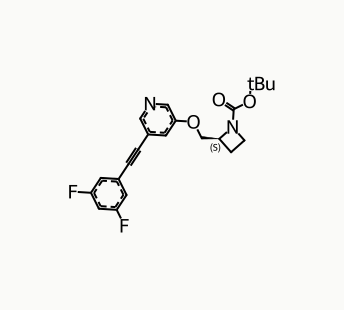 CC(C)(C)OC(=O)N1CC[C@H]1COc1cncc(C#Cc2cc(F)cc(F)c2)c1